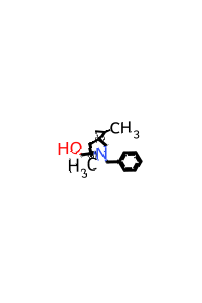 CC1C[C@@]12CN(Cc1ccccc1)[C@](C)(CO)C2